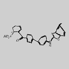 Cc1ccc2oc(Nc3ccc(-c4ccc(C(=O)C5CCCC[C@@H]5C(=O)O)cc4)cc3)nc2c1